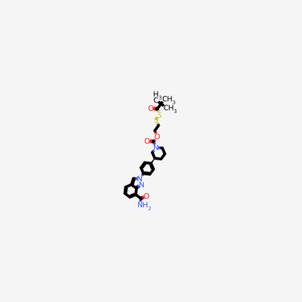 CC(C)(C)C(=O)SSCCOC(=O)N1CCC[C@@H](c2ccc(-n3cc4cccc(C(N)=O)c4n3)cc2)C1